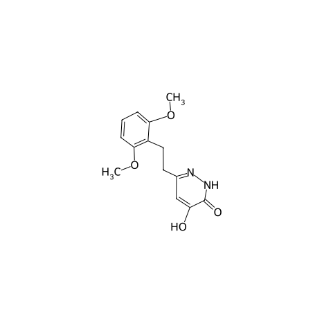 COc1cccc(OC)c1CCc1cc(O)c(=O)[nH]n1